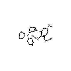 COc1cc(OC)c(OC)c(-c2cccc(N(c3ccccc3)c3ccccc3)c2)c1